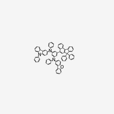 c1ccc(N(c2cc(-c3cc4c(c5ccccc35)-c3ccccc3C4(c3ccccc3)c3ccccc3)cc(N(c3ccccc3)c3ccc4c(c3)c3ccccc3n4-c3ccccc3)c2)c2ccc3oc4ccccc4c3c2)cc1